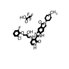 CN1CCC(N2Cc3cc4[nH]c(-c5c(NC[C@@H](O)COc6c(F)cccc6Cl)cc[nH]c5=O)nc4cc3C2=O)CC1.O=C(O)C(F)(F)F